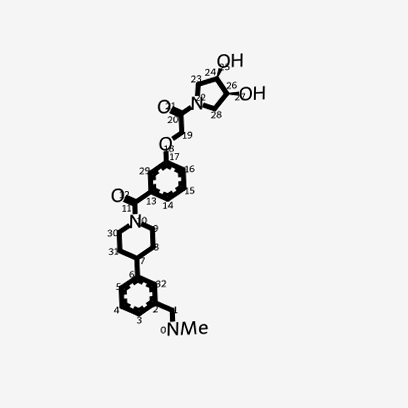 CNCc1cccc(C2CCN(C(=O)c3cccc(OCC(=O)N4C[C@@H](O)[C@@H](O)C4)c3)CC2)c1